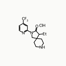 CCC1C(=O)N(c2cc(C(F)(F)F)ccn2)CC12CCNCC2.Cl